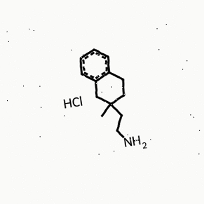 CC1(CCN)CCc2ccccc2C1.Cl